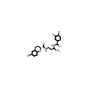 C=C(CCNC(=O)[C@H]1CCc2cc(Cl)ccc2O1)NC(=O)c1ccc(Cl)c(F)c1